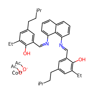 CC(=O)[O-].CC(=O)[O-].CCc1cc(CCC(C)C)cc(C=Nc2cccc3cccc(N=Cc4cc(CCC(C)C)cc(CC)c4O)c23)c1O.[Co+2]